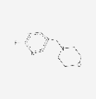 Fc1[c]cc(CN2CCOCC2)cn1